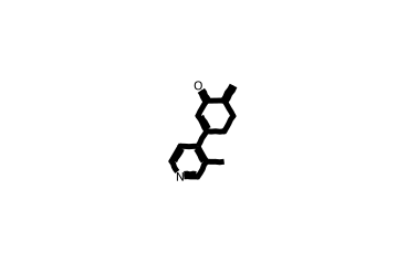 C=C1CCC(c2ccncc2C)=CC1=O